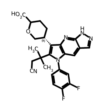 CC(C)(CC#N)c1c([C@H]2CCC(C(=O)O)OC2)c2nc3[nH]ncc3cc2n1-c1ccc(F)c(F)c1